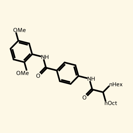 CCCCCCCCC(CCCCCC)C(=O)Nc1ccc(C(=O)Nc2cc(OC)ccc2OC)cc1